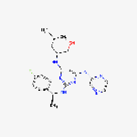 CC(C)CC(CO)Nc1cc(Nc2cnccn2)nc(N[C@@H](C)c2ccc(F)cc2)n1